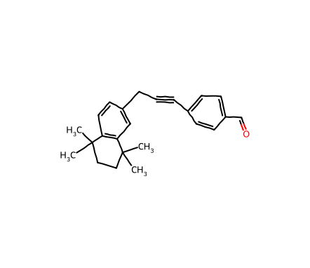 CC1(C)CCC(C)(C)c2cc(CC#Cc3ccc(C=O)cc3)ccc21